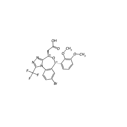 COc1cccc([C@H]2O[C@H](CC(=O)O)c3nnc(C(F)(F)F)n3-c3ccc(Br)cc32)c1OC